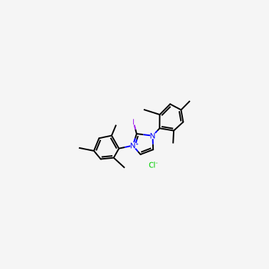 Cc1cc(C)c(-n2cc[n+](-c3c(C)cc(C)cc3C)c2I)c(C)c1.[Cl-]